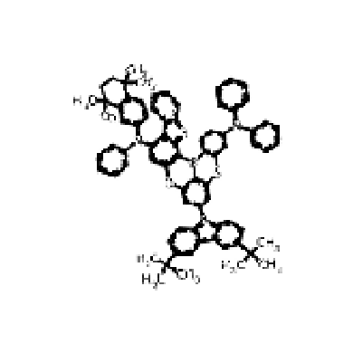 CC(C)(C)c1ccc2c(c1)c1cc(C(C)(C)C)ccc1n2-c1cc2c3c(c1)Sc1cc(N(c4ccccc4)c4ccccc4)ccc1B3c1c(cc(N(c3ccccc3)c3ccc4c(c3)C(C)(C)CCC4(C)C)c3c1sc1ccccc13)O2